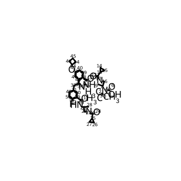 CC(C)(C)N(C(=O)O)C1CN(C(=O)C2CC2)C1.O=C(NC1CN(C(=O)C2CC2)C1)c1cc(Cc2n[nH]c(=O)c3ccc(OC4CCC4)cc23)ccc1F